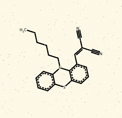 CCCCCCN1c2ccccc2Sc2cccc(C=C(C#N)C#N)c21